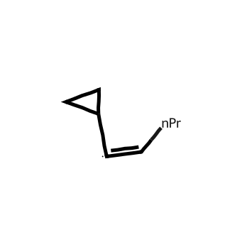 CCC/C=[C]\C1CC1